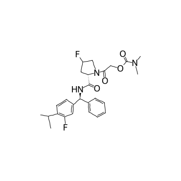 CC(C)c1ccc([C@@H](NC(=O)[C@@H]2CC(F)CN2C(=O)COC(=O)N(C)C)c2ccccc2)cc1F